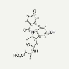 Cc1c(CC(=O)NC(C)CC(=O)O)c2cc(O)ccc2n1C(=O)c1ccc(Cl)cc1